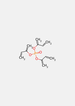 C=CC(=C)OP(=O)(OC(=C)C=C)OC(=C)C=C